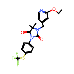 CCOc1cc(CN2C(=O)N(c3ccc(SC(F)(F)F)cc3)C(=O)C2(C)C)ccn1